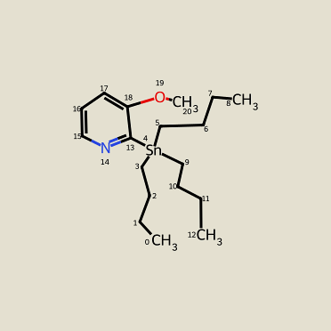 CCC[CH2][Sn]([CH2]CCC)([CH2]CCC)[c]1ncccc1OC